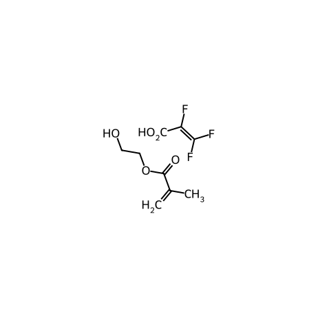 C=C(C)C(=O)OCCO.O=C(O)C(F)=C(F)F